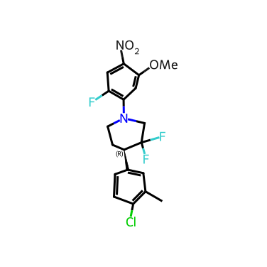 COc1cc(N2CC[C@H](c3ccc(Cl)c(C)c3)C(F)(F)C2)c(F)cc1[N+](=O)[O-]